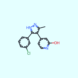 Cc1n[nH]c(-c2cccc(Cl)c2)c1-c1ccnc(O)c1